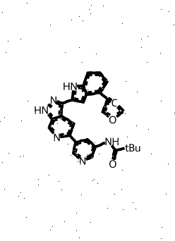 CC(C)(C)C(=O)Nc1cncc(-c2cc3c(-c4cc5c(-c6ccoc6)cccc5[nH]4)n[nH]c3cn2)c1